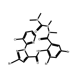 CN(C)C(=O)N(C)N(C)C(=O)c1cc(Br)cc(Br)c1NC(=O)c1cc(Br)nn1-c1ncccc1Cl